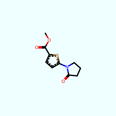 COC(=O)c1ccc(N2CCCC2=O)s1